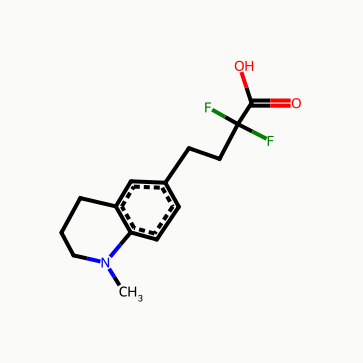 CN1CCCc2cc(CCC(F)(F)C(=O)O)ccc21